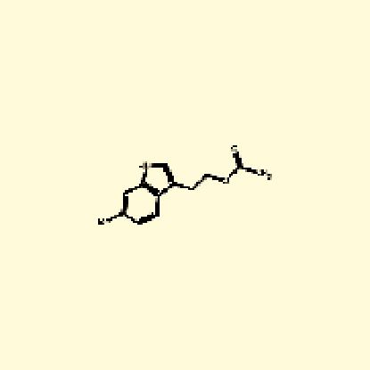 CC(=O)OCCc1c[nH]c2cc(Br)ccc12